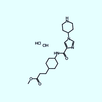 COC(=O)CCC1CCC(NC(=O)c2cn(C3CCNCC3)cn2)CC1.Cl.Cl